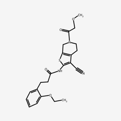 CCOc1ccccc1CCC(=O)Nc1sc2c(c1C#N)CCN(C(=O)COC)C2